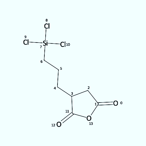 O=C1CC(CCC[Si](Cl)(Cl)Cl)C(=O)O1